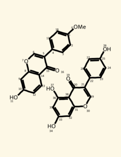 COc1ccc(-c2coc3cc(O)ccc3c2=O)cc1.O=c1c(-c2ccc(O)cc2)coc2cc(O)cc(O)c12